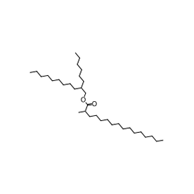 CCCCCCCCCCCCCCC(C)C(=O)OCC(CCCCCC)CCCCCCCCC